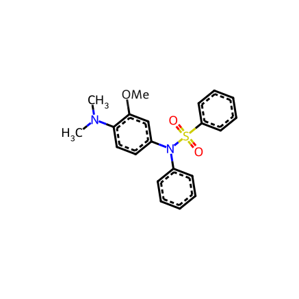 COc1cc(N(c2ccccc2)S(=O)(=O)c2ccccc2)ccc1N(C)C